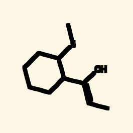 C/C=C(\O)C1CCCCC1SC